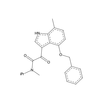 Cc1ccc(OCc2ccccc2)c2c(C(=O)C(=O)N(C)C(C)C)c[nH]c12